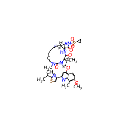 COc1ccc2c(O[C@H]3CN4C(=O)N(C)CCCC/C=C\[C@@H]5C[C@@]5(C(=O)NS(=O)(=O)C5CC5)NC(=O)[C@@H]4[C@@H]3C)cc(-c3csc(C(C)C)n3)nc2c1C